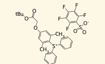 Cc1cc(OCC(=O)OC(C)(C)C)cc(C)c1[S+](c1ccccc1)c1ccccc1.O=S(=O)([O-])c1c(F)c(F)c(F)c(F)c1F